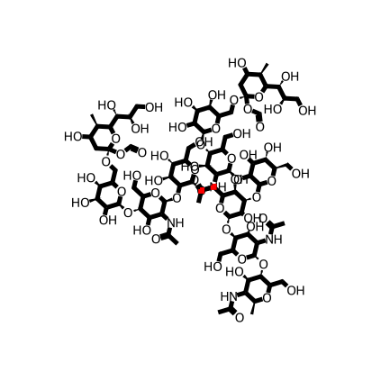 CC(=O)NC1C(O)[C@H](O[C@@H]2OC(CO[C@]3(OC=O)CC(O)[C@@H](C)C([C@H](O)[C@H](O)CO)O3)[C@H](O)[C@H](O)C2O)C(CO)O[C@H]1OC1[C@@H](OCC2O[C@@H](O[C@@H]3C(CO)O[C@@H](O[C@@H]4C(CO)O[C@@H](C)C(NC(C)=O)[C@H]4O)C(NC(C)=O)[C@H]3O)C(O)[C@@H](OC3O[C@H](CO)[C@@H](O)C(O)C3O[C@@H]3OC(CO)[C@@H](O[C@@H]4OC(CO[C@]5(OC=O)CC(O)[C@@H](C)C([C@H](O)[C@H](O)CO)O5)[C@H](O)[C@H](O)C4O)[C@H](O)C3NC(C)=O)[C@@H]2O)OC(CO)[C@@H](O)[C@@H]1O